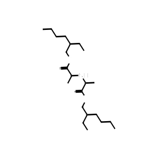 CCCCC(CC)COC(=O)C(C)NC(C)C(=O)OCC(CC)CCCC